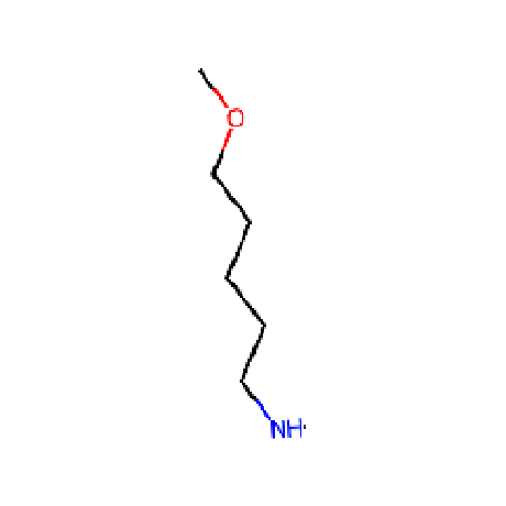 COCCCCC[NH]